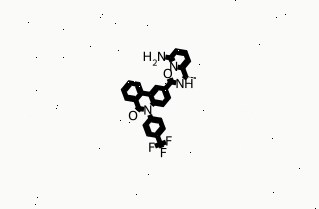 C[C@H](NC(=O)c1ccc2c(c1)c1ccccc1c(=O)n2-c1ccc(C(F)(F)F)cc1)c1cccc(N)n1